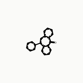 O=c1c2ccccc2cc(-c2ccccc2)c2ccccc12